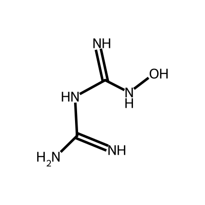 N=C(N)NC(=N)NO